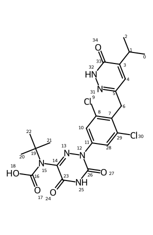 CC(C)c1cc(Cc2c(Cl)cc(-n3nc(N(C(=O)O)C(C)(C)C)c(=O)[nH]c3=O)cc2Cl)n[nH]c1=O